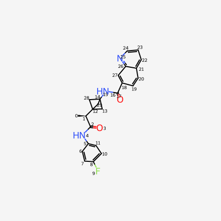 C[C@H](C(=O)Nc1ccc(F)cc1)C12CC(NC(=O)c3ccc4cccnc4c3)(C1)C2